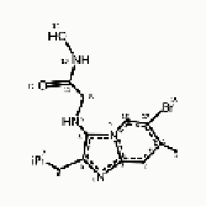 Cc1cc2nc(CC(C)C)c(NCC(=O)NO)n2cc1Br